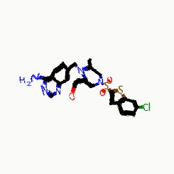 CC1CN(S(=O)(=O)c2cc3ccc(Cl)cc3s2)CC(C=O)N1Cc1ccc2c(N)ncnc2c1